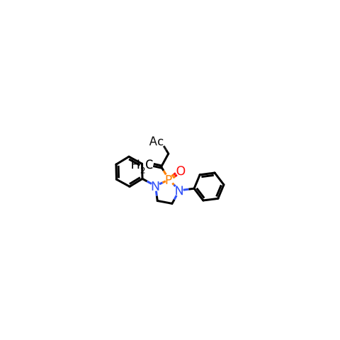 C=C(CC(C)=O)P1(=O)N(c2ccccc2)CCN1c1ccccc1